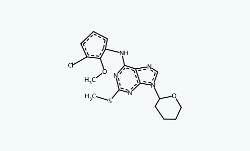 COc1c(Cl)cccc1Nc1nc(SC)nc2c1ncn2C1CCCCO1